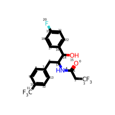 O=C(CC(F)(F)F)NC(Cc1ccc(C(F)(F)F)cc1)C(O)c1ccc(F)cc1